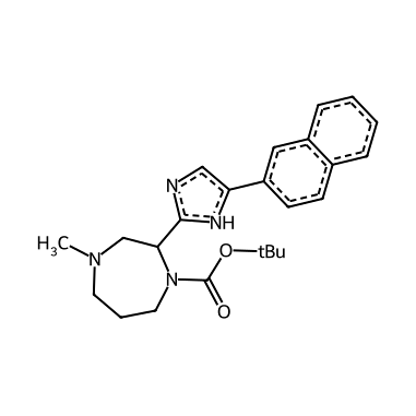 CN1CCCN(C(=O)OC(C)(C)C)C(c2ncc(-c3ccc4ccccc4c3)[nH]2)C1